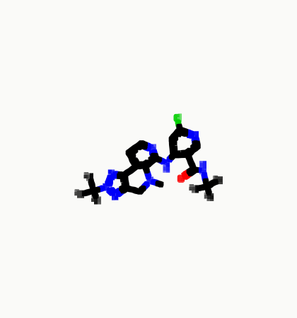 [2H]C([2H])([2H])NC(=O)c1cnc(Cl)cc1Nc1nccc2c1N(C)Cc1nn(C([2H])([2H])[2H])nc1-2